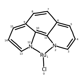 [Cl][Ru]1[N]2C=CC=c3ccc4c(c32)[N]1C=CC=4